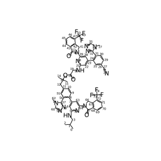 CC(C)CNc1cc(-c2ccc(CC(C)(C)OC(=O)CNc3cc(-c4cc(C#N)ccc4-c4nncn4C)cc(N4Cc5c(cccc5C(F)(F)F)C4=O)n3)cc2-c2nncn2C)cc(N2Cc3c(cccc3C(F)(F)F)C2=O)n1